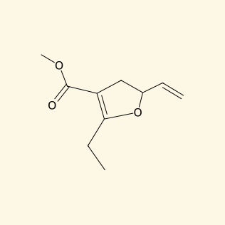 C=CC1CC(C(=O)OC)=C(CC)O1